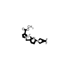 COC(=O)c1ccn(Cc2ccc(N3CC4C(C3)C4(F)F)nc2C)c1